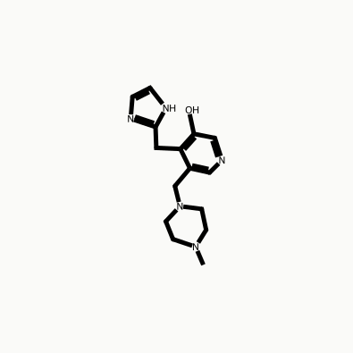 CN1CCN(Cc2cncc(O)c2Cc2ncc[nH]2)CC1